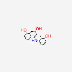 Cc1c(O)cccc1Nc1cc(O)cc2c(O)cccc12